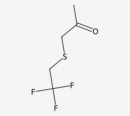 CC(=O)CSCC(F)(F)F